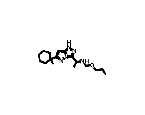 CCCOCNC(C)c1n[nH]c2cc(C3(C)CCCCC3)nn12